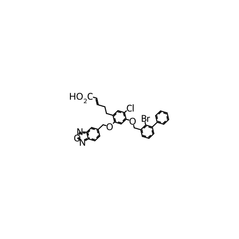 O=C(O)/C=C/CCc1cc(Cl)c(OCc2cccc(-c3ccccc3)c2Br)cc1OCc1ccc2nonc2c1